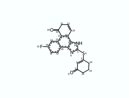 O=C1C=C(Sc2nc3c([nH]2)c2c(c4cc(F)ccc43)C(=O)CC=C2)CCC1